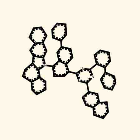 c1ccc(-c2ccc3c(-c4nc(-c5ccc6ccccc6c5)nc(-c5ccccc5-c5ccccc5)n4)ccc(-n4c5cc6ccccc6cc5c5ccc6ccccc6c54)c3c2)cc1